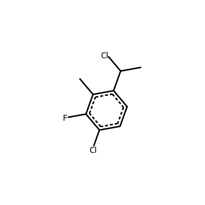 Cc1c(C(C)Cl)ccc(Cl)c1F